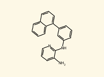 Nc1cccnc1Nc1cccc(-c2cccc3ccccc23)c1